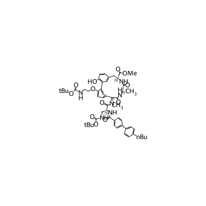 CCCCc1ccc(-c2ccc(C(=O)N[C@@H](CNC(=O)OC(C)(C)C)C(=O)N(C)[C@@H]3C(=O)N[C@@H](C)C(=O)N[C@H](C(=O)OC)Cc4ccc(O)c(c4)-c4cc3ccc4OCCNC(=O)OC(C)(C)C)cc2)cc1